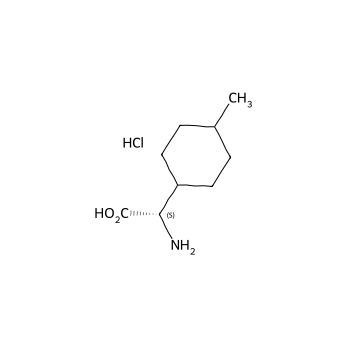 CC1CCC([C@H](N)C(=O)O)CC1.Cl